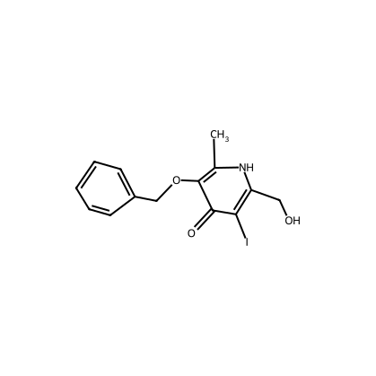 Cc1[nH]c(CO)c(I)c(=O)c1OCc1ccccc1